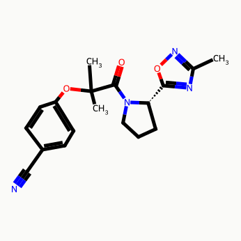 Cc1noc([C@@H]2CCCN2C(=O)C(C)(C)Oc2ccc(C#N)cc2)n1